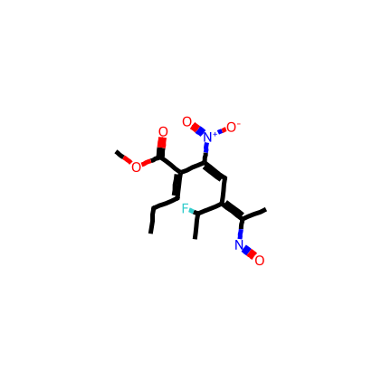 CC/C=C(C(=O)OC)/C(=C\C(=C(/C)N=O)C(C)F)[N+](=O)[O-]